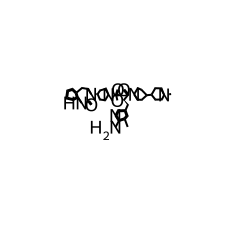 Cc1cc(C[C@@H](OC(=O)N2CCC(N3CCc4ccccc4NC3=O)CC2)C(=O)N2CCC(C3CCN(C)CC3)CC2)cnc1N